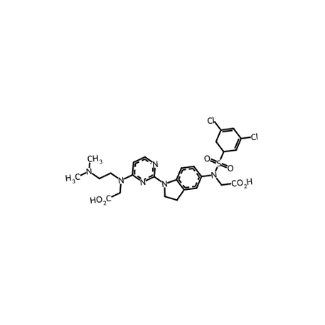 CN(C)CCN(CC(=O)O)c1ccnc(N2CCc3cc(N(CC(=O)O)S(=O)(=O)C4C=C(Cl)C=C(Cl)C4)ccc32)n1